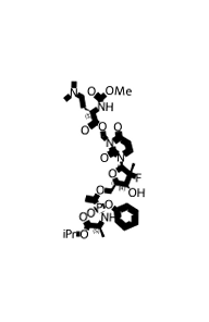 C=C(OC[C@H]1O[C@@H](n2ccc(=O)n(COC(=O)[C@H](CCN(C)C)NC(=O)OC)c2=O)[C@](C)(F)[C@@H]1O)P(=O)(N[C@@H](C)C(=O)OC(C)C)Oc1ccccc1